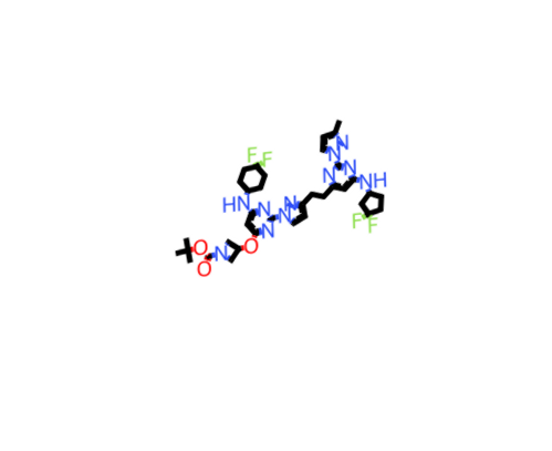 Cc1ccn(-c2nc(CCc3ccn(-c4nc(NC5CCC(F)(F)CC5)cc(OC5CN(C(=O)OC(C)(C)C)C5)n4)n3)cc(NC3CCC(F)(F)C3)n2)n1